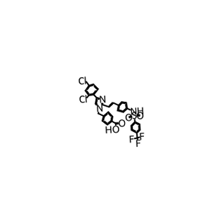 O=C(O)c1ccc(Cn2cc(-c3ccc(Cl)cc3Cl)nc2/C=C/c2ccc(NS(=O)(=O)c3ccc(C(F)(F)F)cc3)cc2)cc1